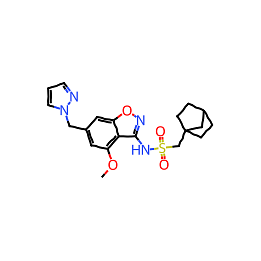 COc1cc(Cn2cccn2)cc2onc(NS(=O)(=O)CC34CCC(CC3)C4)c12